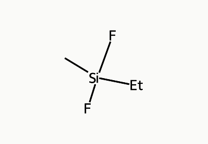 CC[Si](C)(F)F